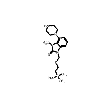 Cn1c(=O)n(COCC[Si](C)(C)C)c2cccc(N3CCNCC3)c21